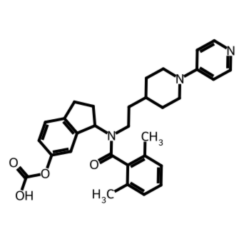 Cc1cccc(C)c1C(=O)N(CCC1CCN(c2ccncc2)CC1)C1CCc2ccc(OC(=O)O)cc21